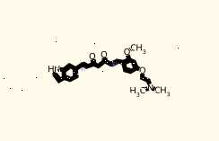 COc1cc(OCCN(C)C)ccc1/C=C/C(=O)CC(=O)/C=C/c1ccc2cc[nH]c2c1